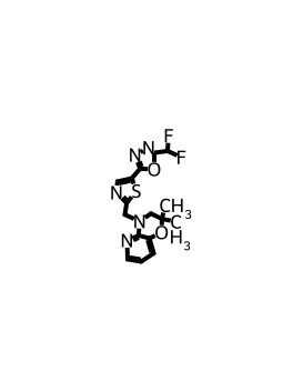 CC1(C)CN(Cc2ncc(-c3nnc(C(F)F)o3)s2)c2ncccc2O1